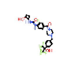 O=C(Nc1ccc(C(=O)N2CCN(Cc3ccc(C(O)(C(F)(F)F)C(F)(F)F)cc3)CC2)cc1F)NC1CCC1O